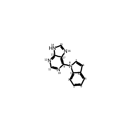 c1ccc2c(c1)ccn2-c1ncnc2[nH]cnc12